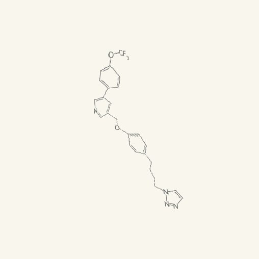 FC(F)(F)Oc1ccc(-c2cncc(COc3ccc(CCCCn4ccnn4)cc3)c2)cc1